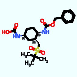 CC(C)(C)S(=O)(=O)C[C@@H]1C[C@H](NC(=O)O)CC[C@@H]1NC(=O)OCc1ccccc1